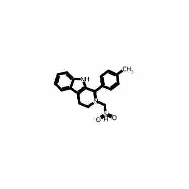 Cc1ccc(C2c3[nH]c4ccccc4c3CCN2C[SH](=O)=O)cc1